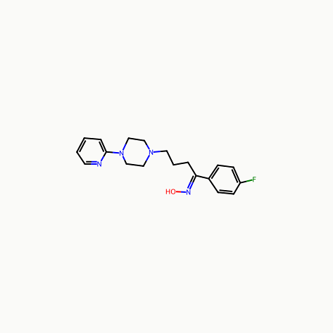 ON=C(CCCN1CCN(c2ccccn2)CC1)c1ccc(F)cc1